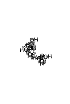 CC[C@H]1[C@@H](O)[C@@H]2[C@H](CC[C@]3(C)[C@@H]([C@H](C)CCOc4cnccc4C(=O)O)CC[C@@H]23)[C@@]2(C)CC[C@@H](O)C[C@@H]12